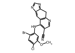 COc1cc(Nc2c(C#N)cnc3c2C=C2N=CN=C2C3)c(Br)cc1Cl